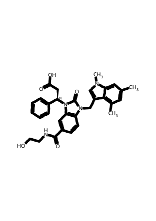 Cc1cc(C)c2c(Cn3c(=O)n([C@H](CC(=O)O)c4ccccc4)c4cc(C(=O)NCCO)ccc43)cn(C)c2c1